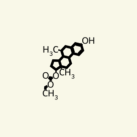 CCOC(=O)O[C@H]1CCC2C3C(CC[C@@]21C)c1ccc(O)cc1C[C@@H]3C